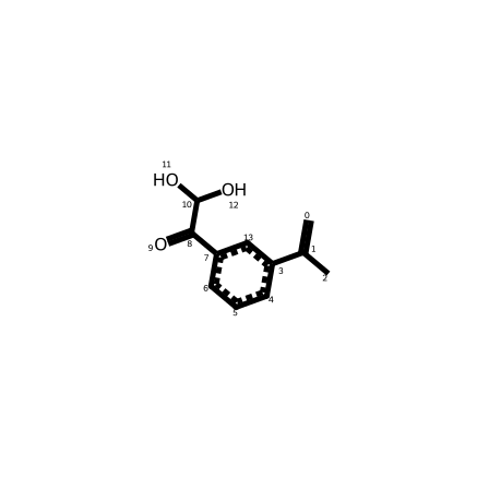 C=C(C)c1cccc(C(=O)C(O)O)c1